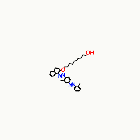 Cc1ccccc1/N=N/c1ccc(/N=N/c2c(OCCCCCCCCCCO)ccc3ccccc23)c(C)c1